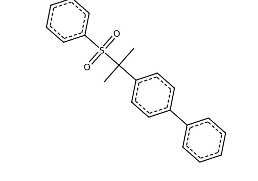 CC(C)(c1ccc(-c2ccccc2)cc1)S(=O)(=O)c1ccccc1